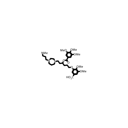 CNCCCN1CCCN(CCC(CCCOc2cc(C(=O)O)cc(OC)c2OC)OC(=O)c2cc(OC)c(OC)c(OC)c2)CC1